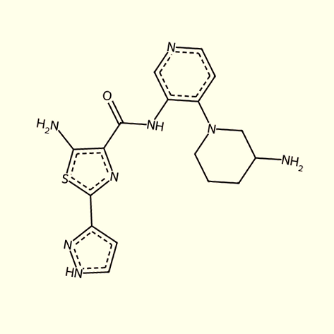 Nc1sc(-c2cc[nH]n2)nc1C(=O)Nc1cnccc1N1CCCC(N)C1